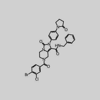 O=C(NCc1ccccc1)c1c2n(c(=O)n1-c1ccc(N3CCCC3=O)cc1)CCN(C(=O)c1ccc(Br)c(Cl)c1)C2